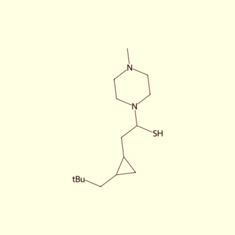 CN1CCN(C(S)CC2CC2CC(C)(C)C)CC1